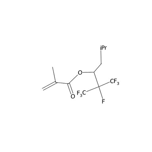 C=C(C)C(=O)OC(CC(C)C)C(F)(C(F)(F)F)C(F)(F)F